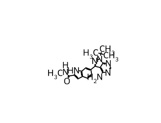 CNC(=O)c1cc2ccc(-c3nn(C(C)(C)C)c4ncnc(N)c34)cc2[nH]1